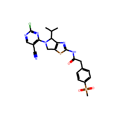 CC(C)C1c2nc(NC(=O)Cc3ccc(S(C)(=O)=O)cc3)sc2CN1c1nc(Cl)ncc1C#N